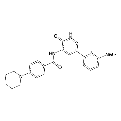 CNc1cccc(-c2c[nH]c(=O)c(NC(=O)c3ccc(N4CCCCC4)cc3)c2)n1